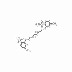 Cc1ccc(S(N)(=O)=O)c(CCCNCCNCCCc2cc(C)ccc2S(N)(=O)=O)c1